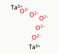 [O-2].[O-2].[O-2].[O-2].[O-2].[Ta+5].[Ta+5]